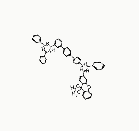 CC1(C)c2ccccc2Oc2cc(-c3nc(-c4ccccc4)nc(-c4ccc(-c5ccc(-c6cccc(C7N=C(c8ccccc8)N=C(c8ccccc8)N7)c6)cc5)cc4)n3)ccc21